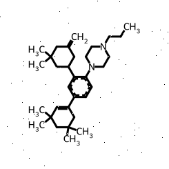 C=C1CC(c2cc(C3=CC(C)(C)CC(C)(C)C3)ccc2N2CCN(CCC)CC2)CC(C)(C)C1